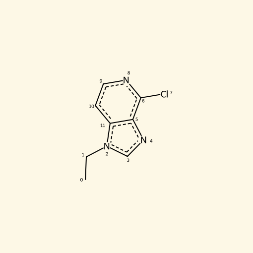 CCn1cnc2c(Cl)nccc21